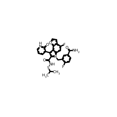 CC(C)SNC(=O)c1c(-c2ccc[nH]c2=O)c2c3occc3c(F)cc2n1Cc1cc(C(N)=O)ccc1F